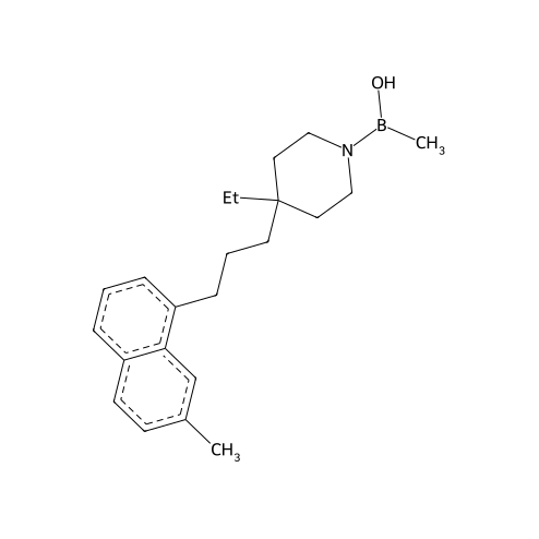 CCC1(CCCc2cccc3ccc(C)cc23)CCN(B(C)O)CC1